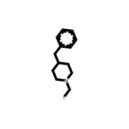 ICN1CCC(Cc2ccccc2)CC1